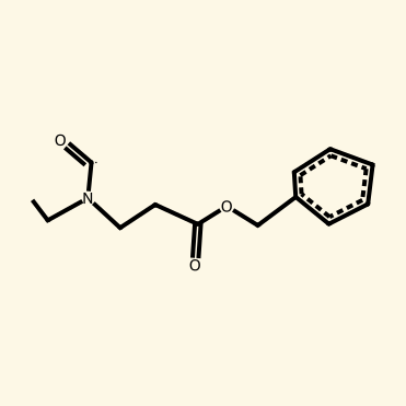 CCN([C]=O)CCC(=O)OCc1ccccc1